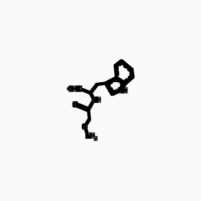 NOCC(=O)NC([C]=O)Cc1c[nH]c2ccccc12